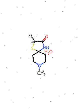 CC[C@@H]1SC2(CCN(C)CC2)NC1=O.O